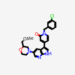 COCC1CN(c2cnc3[nH]cc(-c4ccn(Cc5cccc(Cl)c5)c(=O)c4)c3c2)CCO1